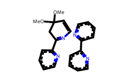 COC1(OC)C=CN=C(c2ccccn2)C1.c1ccc(-c2ccccn2)nc1